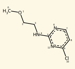 COCCNc1nccc(Cl)n1